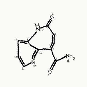 NC(=O)c1cc(=O)[nH]c2cccnc12